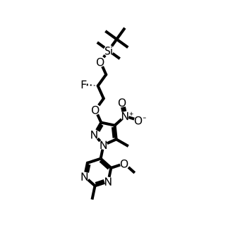 COc1nc(C)ncc1-n1nc(OC[C@H](F)CO[Si](C)(C)C(C)(C)C)c([N+](=O)[O-])c1C